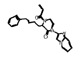 C=CC(=O)N1CCN(c2cn3ccccc3n2)C(=O)C1CCCCc1ccccc1